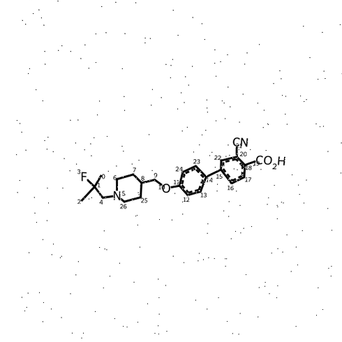 CC(C)(F)CN1CCC(COc2ccc(-c3ccc(C(=O)O)c(C#N)c3)cc2)CC1